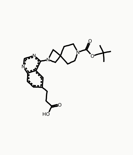 CC(C)(C)OC(=O)N1CCC2(CC1)CN(c1ncnc3ccc(CCC(=O)O)cc13)C2